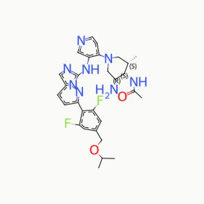 CC(=O)N[C@@H]1[C@H](N)CN(c2ccncc2Nc2ncc3ccc(-c4c(F)cc(COC(C)C)cc4F)nn23)C[C@@H]1C